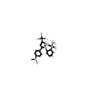 C[S+]([O-])c1ccc(-c2cc(C(F)(F)F)nn2-c2ccccc2S(N)(=O)=O)cc1